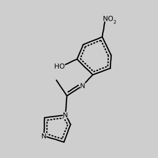 C/C(=N\c1ccc([N+](=O)[O-])cc1O)n1ccnc1